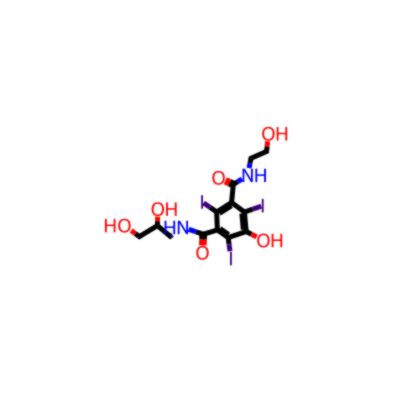 O=C(NCCO)c1c(I)c(O)c(I)c(C(=O)NCC(O)CO)c1I